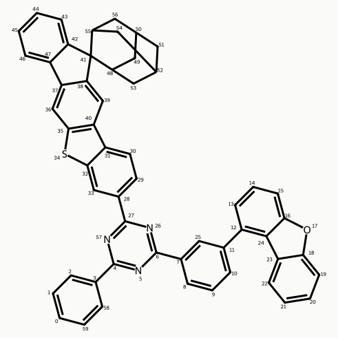 c1ccc(-c2nc(-c3cccc(-c4cccc5oc6ccccc6c45)c3)nc(-c3ccc4c(c3)sc3cc5c(cc34)C3(c4ccccc4-5)C4CC5CC(C4)CC3C5)n2)cc1